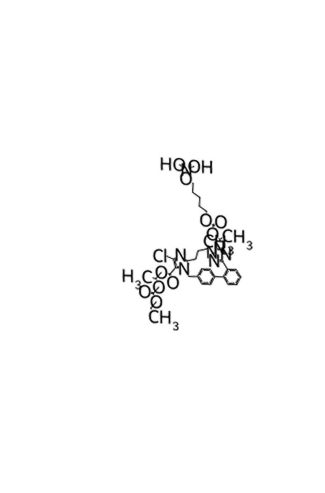 CCCCc1nc(Cl)c(C(=O)OC(C)OC(=O)OCC)n1Cc1ccc(-c2ccccc2-c2nnn(C(C)OC(=O)OCCCCCON(O)O)n2)cc1